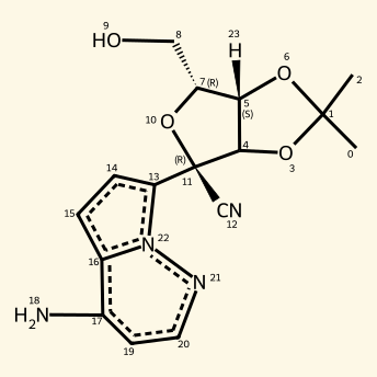 CC1(C)OC2[C@@H](O1)[C@@H](CO)O[C@@]2(C#N)c1ccc2c(N)ccnn12